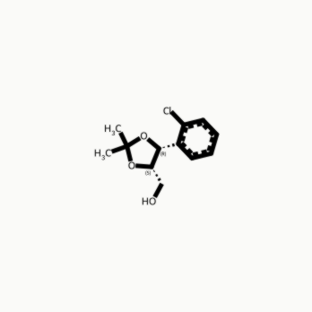 CC1(C)O[C@@H](CO)[C@@H](c2ccccc2Cl)O1